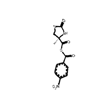 C[C@]1(C(=O)OC(=O)c2ccc([N+](=O)[O-])cc2)CSC(=O)N1